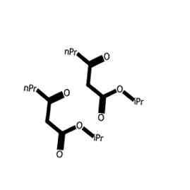 CCCC(=O)CC(=O)OC(C)C.CCCC(=O)CC(=O)OC(C)C